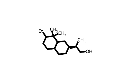 CCC1CCC2CC/C(=C(/C)CO)CC2C1(C)C